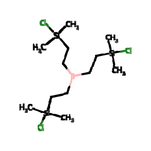 C[Si](C)(Cl)CCB(CC[Si](C)(C)Cl)CC[Si](C)(C)Cl